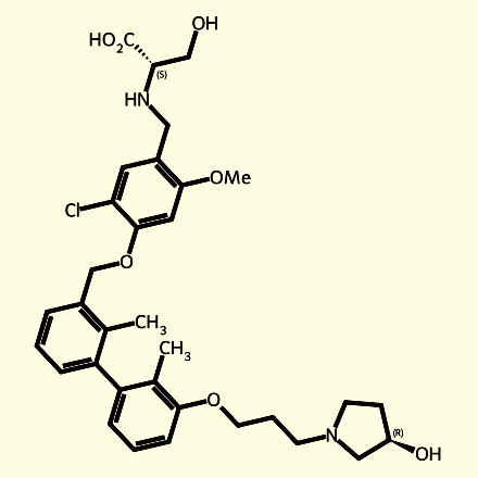 COc1cc(OCc2cccc(-c3cccc(OCCCN4CC[C@@H](O)C4)c3C)c2C)c(Cl)cc1CN[C@@H](CO)C(=O)O